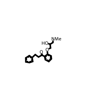 CNCC(O)COc1ccccc1C(=O)CCc1ccccc1